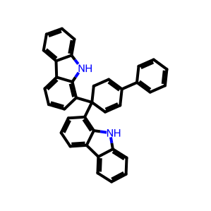 C1=CC(c2cccc3c2[nH]c2ccccc23)(c2cccc3c2[nH]c2ccccc23)CC=C1c1ccccc1